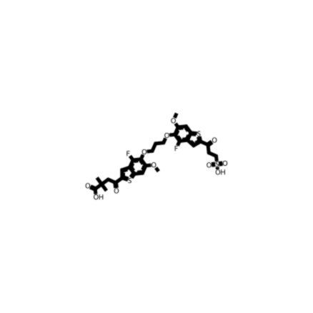 COc1cc2sc(C(=O)CCS(=O)(=O)O)cc2c(F)c1OCCCOc1c(OC)cc2sc(C(=O)CC(C)(C)C(=O)O)cc2c1F